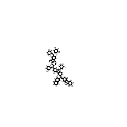 C=CC(Cc1oc2ccc(N(c3ccccc3)c3ccccc3)cc2c1C)N(c1ccccc1)c1ccc2c3cc(N(c4ccc5ccccc5c4)c4ccc5c(c4)oc4ccccc45)ccc3n(-c3ccccc3)c2c1